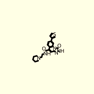 O=C(NCCN1CCCCC1)c1cc2n[nH]c(=O)n2c2cc(-c3ccsc3)ccc12